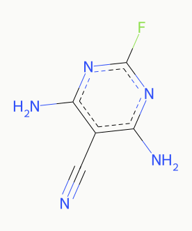 N#Cc1c(N)nc(F)nc1N